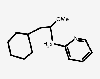 COC(CC1CCCCC1)[SiH2]c1ccccn1